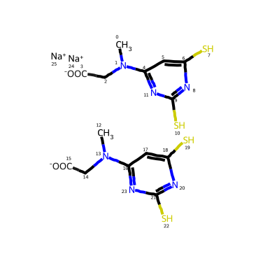 CN(CC(=O)[O-])c1cc(S)nc(S)n1.CN(CC(=O)[O-])c1cc(S)nc(S)n1.[Na+].[Na+]